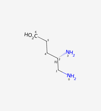 NC[C@@H](N)CCC(=O)O